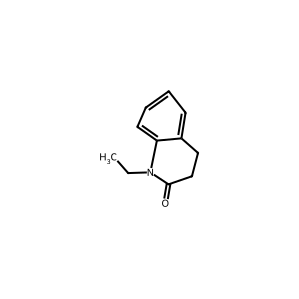 CCN1C(=O)CCc2ccccc21